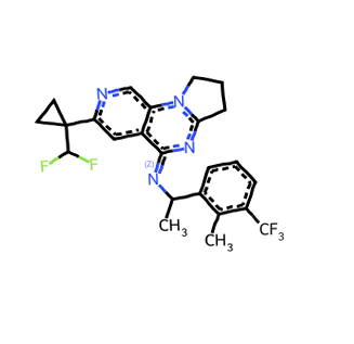 Cc1c(C(C)/N=c2\nc3n(c4cnc(C5(C(F)F)CC5)cc24)CCC3)cccc1C(F)(F)F